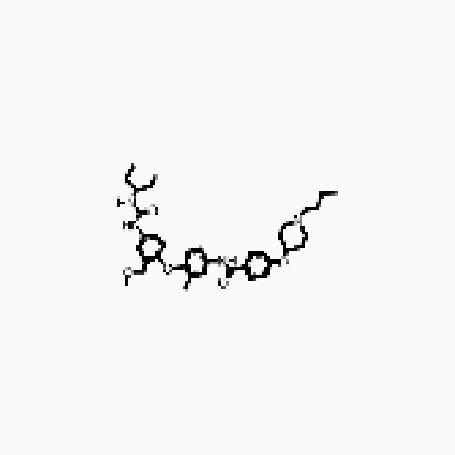 CCCCN1CCC(Oc2ccc(C(=O)Nc3ccc(Oc4ccc(NC(=O)NC(CC)CC)cc4COC)c(C)c3)cc2)CC1